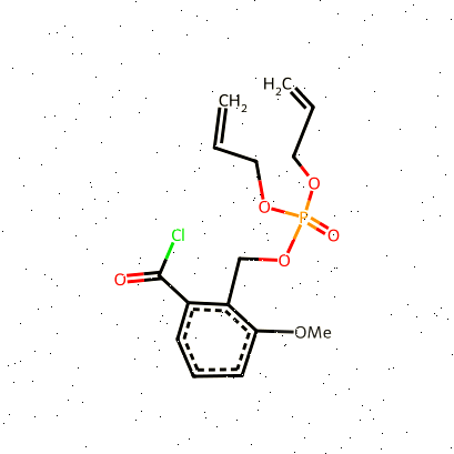 C=CCOP(=O)(OCC=C)OCc1c(OC)cccc1C(=O)Cl